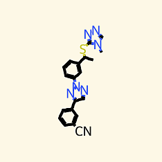 CC(Sc1nncn1C)c1cccc(-n2ncc(-c3cccc(C#N)c3)n2)c1